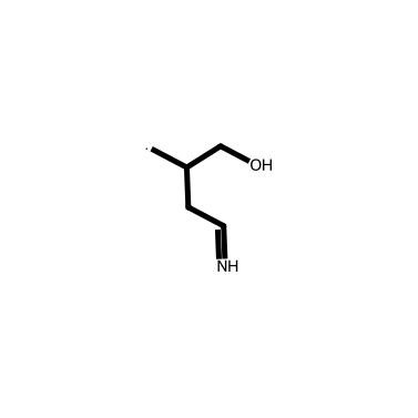 [CH2]C(CO)CC=N